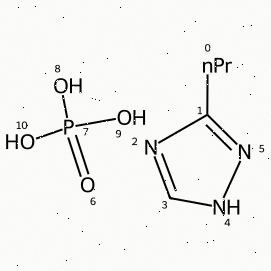 CCCc1nc[nH]n1.O=P(O)(O)O